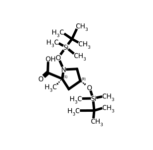 CC(C)(C)[Si](C)(C)O[C@H]1CN(O[Si](C)(C)C(C)(C)C)[C@](C)(C(=O)O)C1